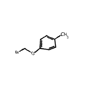 Cc1ccc(OCBr)cc1